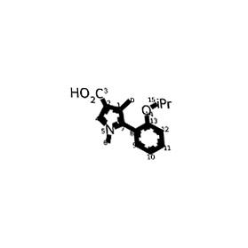 Cc1c(C(=O)O)cn(C)c1-c1ccccc1OC(C)C